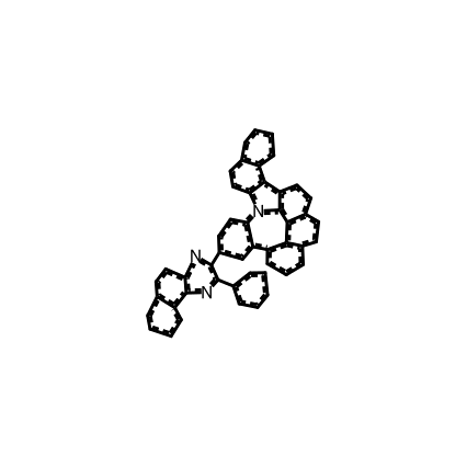 c1ccc(-c2nc3c(ccc4ccccc43)nc2-c2ccc3c(c2)c2cccc4ccc5ccc6c7c8ccccc8ccc7n3c6c5c42)cc1